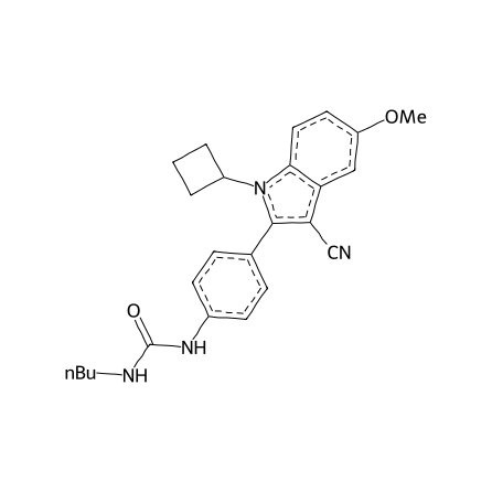 CCCCNC(=O)Nc1ccc(-c2c(C#N)c3cc(OC)ccc3n2C2CCC2)cc1